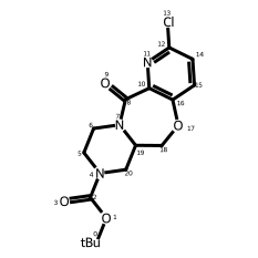 CC(C)(C)OC(=O)N1CCN2C(=O)c3nc(Cl)ccc3OCC2C1